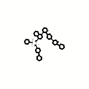 c1ccc(-c2nc(-c3ccc4c(c3)sc3ccccc34)nc(-c3ccc(-c4cccc5oc6cc(-c7ccc8c(c7)oc7ccccc78)ccc6c45)c4ccccc34)n2)cc1